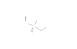 CCP(=S)(S)OC